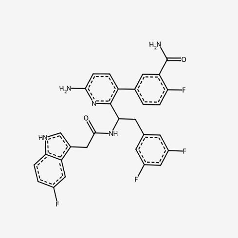 NC(=O)c1cc(-c2ccc(N)nc2C(Cc2cc(F)cc(F)c2)NC(=O)Cc2c[nH]c3ccc(F)cc23)ccc1F